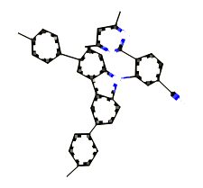 Cc1ccc(-c2ccc3c(c2)c2cc(-c4ccc(C)cc4)ccc2n3-c2cc(C#N)ccc2-c2nc(C)cc(C)n2)cc1